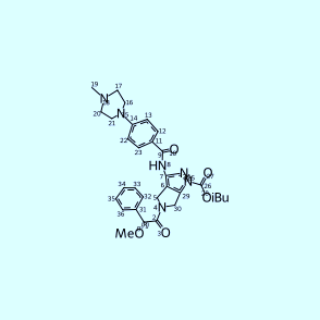 CO[C@@H](C(=O)N1Cc2c(NC(=O)c3ccc(N4CCN(C)CC4)cc3)nn(C(=O)OCC(C)C)c2C1)c1ccccc1